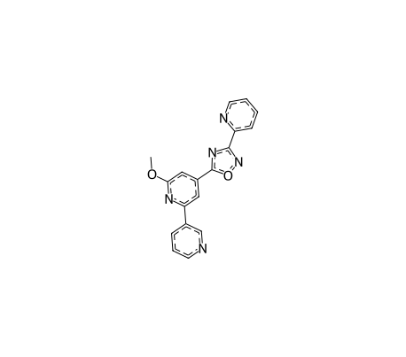 COc1cc(-c2nc(-c3ccccn3)no2)cc(-c2cccnc2)n1